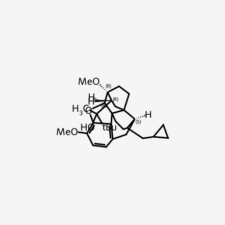 COc1ccc2c3c1O[C@@H]1C34CCC(CC3CC3)[C@H](C2)C42CC[C@@]1(OC)[C@@H](C(C)(O)C(C)(C)C)C2